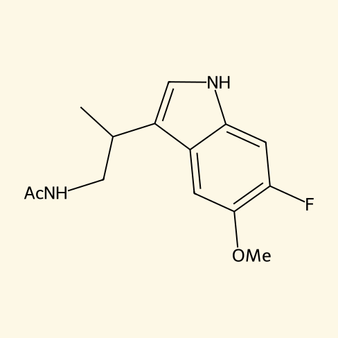 COc1cc2c(C(C)CNC(C)=O)c[nH]c2cc1F